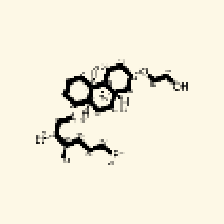 CC[C@H](CC[C@@H]1CCC[C@H]2[C@H]1CC[C@H]1C[C@@H](OCCO)CC[C@@]12C)[C@H](C)CCCC(C)C